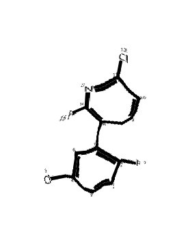 Fc1[c]cc(Cl)cc1-c1ccc(Cl)nc1F